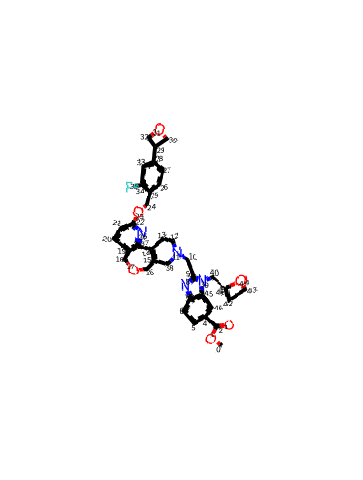 COC(=O)c1ccc2nc(CN3CCC4=C(COCc5ccc(OCc6ccc(C7COC7)cc6F)nc54)C3)n(C[C@@H]3CCO3)c2c1